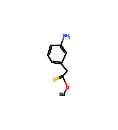 CCC(C)OC(=S)Cc1cccc(N)c1